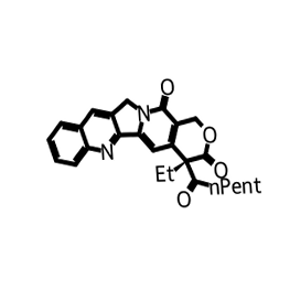 CCCCCC(=O)[C@@]1(CC)C(=O)OCc2c1cc1n(c2=O)Cc2cc3ccccc3nc2-1